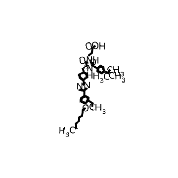 CCCCCCCOc1ccc(-c2cnc(-c3ccc(C[C@H](NC(=O)c4ccc(C(C)(C)C)cc4)C(=O)NCCC(=O)O)cc3)nc2)cc1CC